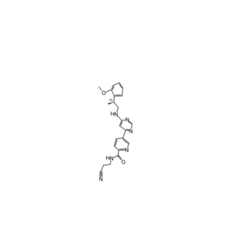 COc1ccccc1[C@H](C)CNc1cc(-c2ccc(C(=O)NCCC#N)nc2)ncn1